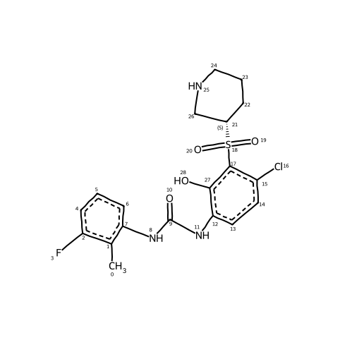 Cc1c(F)cccc1NC(=O)Nc1ccc(Cl)c(S(=O)(=O)[C@H]2CCCNC2)c1O